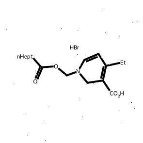 Br.CCCCCCCC(=O)OCN1C=CC(CC)=C(C(=O)O)C1